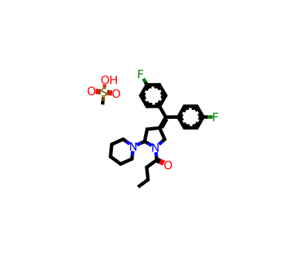 CCCC(=O)N1CC(=C(c2ccc(F)cc2)c2ccc(F)cc2)CC1N1CCCCC1.CS(=O)(=O)O